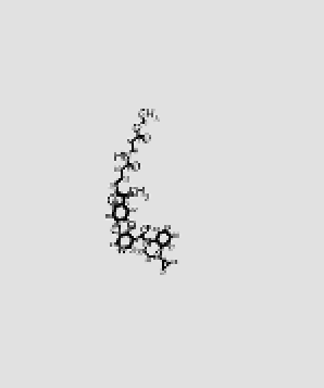 CCOC(=O)CCNC(=O)CC=Cc1oc2cc(Cl)c(Oc3ccncc3C(=O)N3CCN(C4CC4)c4ccccc43)cc2c1C